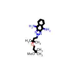 COC(C)(C)CCOC(C)(C)CCn1nc2c(N)c3ccccc3c(N)c2n1